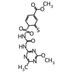 COC(=O)C1=CC(=S)C(S(=O)(=O)NC(=O)Nc2nc(C)nc(OC)n2)C=C1